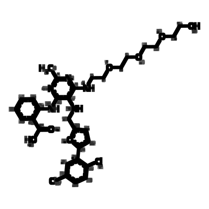 Cc1nc(NCCOCCOCCOCCO)c(NCc2ccc(-c3cc(Cl)ccc3Cl)o2)c(Nc2ccccc2C(=O)O)n1